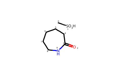 CS(=O)(=O)O.O=C1CCCCCN1